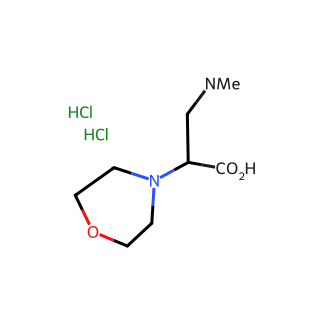 CNCC(C(=O)O)N1CCOCC1.Cl.Cl